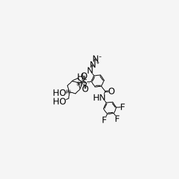 C[C@H]1CC2C[C@](O)(CO)CC1[C@@H]2S(=O)(=O)c1cc(C(=O)Nc2cc(F)c(F)c(F)c2)ccc1N=[N+]=[N-]